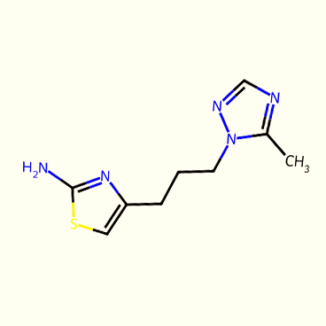 Cc1ncnn1CCCc1csc(N)n1